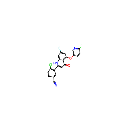 N#Cc1ccc(Cl)c(-c2cc(=O)c3c(Oc4ccc(Cl)nc4)cc(F)cc3[nH]2)c1